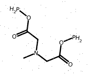 CN(CC(=O)OP)CC(=O)OP